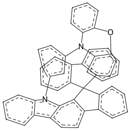 c1cc(N2c3ccccc3Oc3ccccc32)cc(-n2c3ccccc3c3ccc4c(c32)C2(c3ccccc3-c3ccccc32)c2ccccc2-4)c1